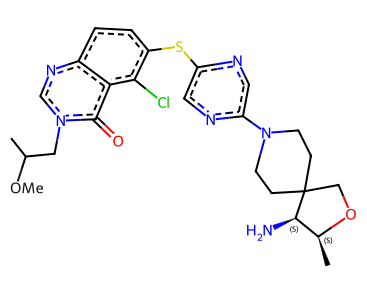 COC(C)Cn1cnc2ccc(Sc3cnc(N4CCC5(CC4)CO[C@@H](C)[C@H]5N)cn3)c(Cl)c2c1=O